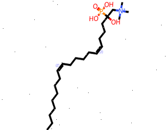 CCCCCCCC/C=C\CCCC/C=C\CCCC(O)(C[N+](C)(C)C)P(=O)(O)O